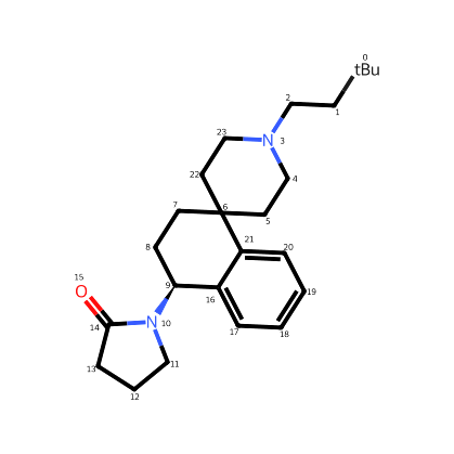 CC(C)(C)CCN1CCC2(CC[C@H](N3CCCC3=O)c3ccccc32)CC1